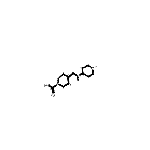 O=C(O)N1CCC(CNC2CCOCC2)CC1